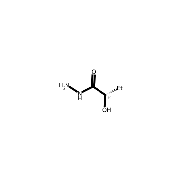 CC[C@H](O)C(=O)NN